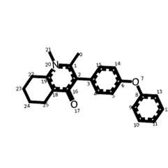 Cc1c(-c2ccc(Oc3ccccc3)cc2)c(=O)c2c(n1C)CCCC2